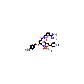 CC(C)(C)c1ccc(CO[C@@H]2C[C@@H](C(=O)NCC3CC=C(C(=N)N)S3)N(C(=O)[C@@H](CCC3CCNCC3)NS(C)(=O)=O)C2)cc1